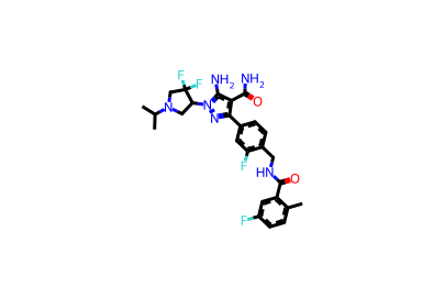 Cc1ccc(F)cc1C(=O)NCc1ccc(-c2nn(C3CN(C(C)C)CC3(F)F)c(N)c2C(N)=O)cc1F